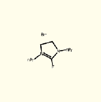 CCCN1CC[N+](CCC)=C1F.[Br-]